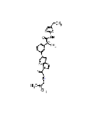 CCc1cnc(NC(=O)[C@@H](C)c2cccc(-c3cnc4c(ccn4C(=O)/C=C/CN(C)C)c3)c2)s1